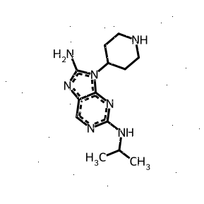 CC(C)Nc1ncc2nc(N)n(C3CCNCC3)c2n1